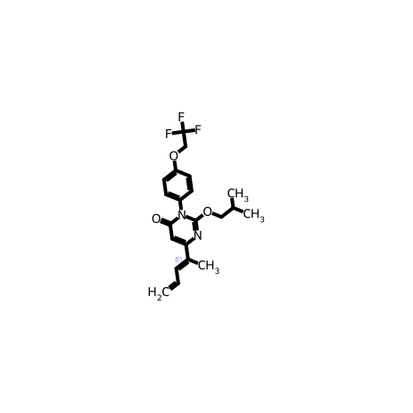 C=C/C=C(\C)c1cc(=O)n(-c2ccc(OCC(F)(F)F)cc2)c(OCC(C)C)n1